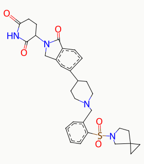 O=C1CCC(N2Cc3cc(C4CCN(Cc5ccccc5S(=O)(=O)N5CCC6(CC6)C5)CC4)ccc3C2=O)C(=O)N1